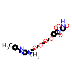 Cc1ccc(-c2cn3ccc(N(C)CCOCCOCCOCCOc4ccc5c(c4)C(=O)N(C4CCC(=O)NC4=O)C5=O)cc3n2)cc1